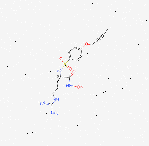 CC#CCOc1ccc(S(=O)(=O)N[C@H](CCCNC(=N)N)C(=O)NO)cc1